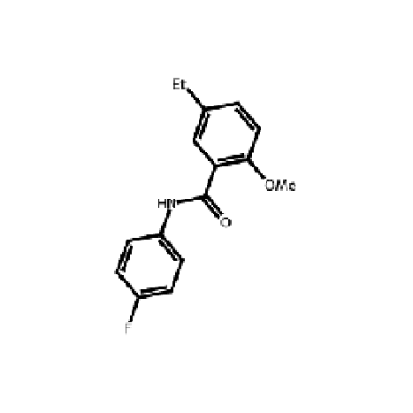 CCc1ccc(OC)c(C(=O)Nc2ccc(F)cc2)c1